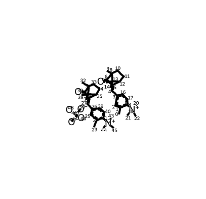 Cc1cc(C=C2C(=O)C3(C)CCC2C3(C)C)ccc1[N+](C)(C)C.Cc1cc(C=C2C(=O)C3(C)CCC2C3(C)C)ccc1[N+](C)(C)C.O=S(=O)([O-])[O-]